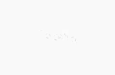 O=C(O)C[C@H]1CC[C@H](c2ccc(-c3ccc4nc(C(=O)NCc5ccc(C(F)(F)F)c(F)c5)cn4c3)cc2)CC1